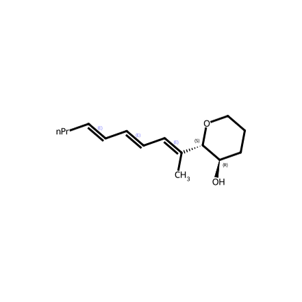 CCC/C=C/C=C/C=C(\C)[C@@H]1OCCC[C@H]1O